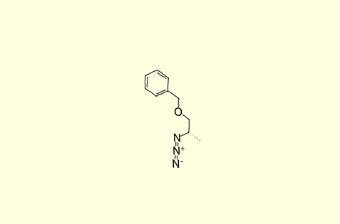 C[C@@H](COCc1ccccc1)N=[N+]=[N-]